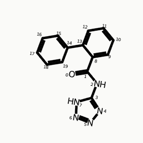 O=C(Nc1nnn[nH]1)c1ccccc1-c1ccccc1